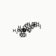 CC1=C2c3c(cc(C4C(C(C)C)=Cc5c(-c6ccc(C(C)(C)C)cc6)cccc54)c(c3-c3cccc4ccccc34)[Si]2(C)C)[CH]1